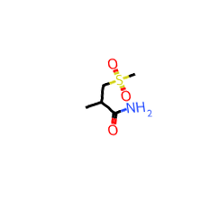 CC(CS(C)(=O)=O)C(N)=O